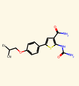 CCC(C#N)COc1ccc(-c2cc(C(N)=O)c(NC(N)=O)s2)cc1